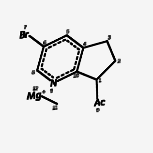 CC(=O)C1CCc2cc(Br)cnc21.[CH3][Mg+]